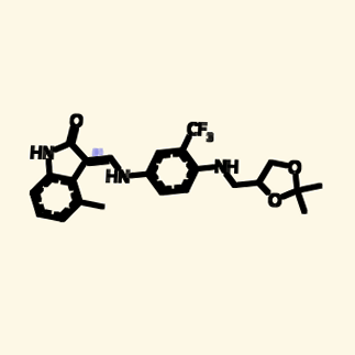 Cc1cccc2c1/C(=C\Nc1ccc(NCC3COC(C)(C)O3)c(C(F)(F)F)c1)C(=O)N2